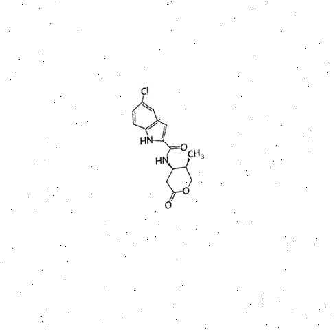 C[C@H]1COC(=O)C[C@H]1NC(=O)c1cc2cc(Cl)ccc2[nH]1